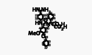 CC(=O)O.COc1cc([C@H](Nc2ccc(C(=N)N)cc2)C(=O)N(C)[C@H](C(=O)O)c2ccccc2)ccc1OCc1ccccc1